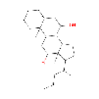 CCCC(C)C1CCC2C3C(O)CC4CCCCC4(C)C3CC(O)C12C